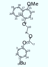 CCC(C)c1ccc(OC(C)OCCOc2ccc(OC)c3ccccc23)cc1